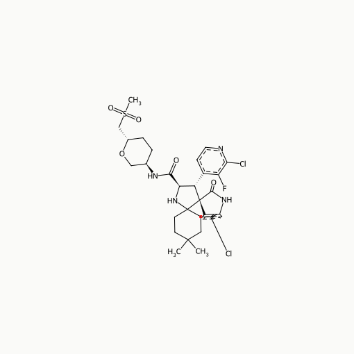 CC1(C)CCC2(CC1)N[C@@H](C(=O)N[C@@H]1CC[C@@H](CS(C)(=O)=O)OC1)[C@H](c1ccnc(Cl)c1F)[C@]21C(=O)Nc2cc(Cl)ccc21